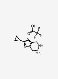 C[C@@H]1Cc2nc(C3CC3)sc2CN1.O=C(O)C(F)(F)F